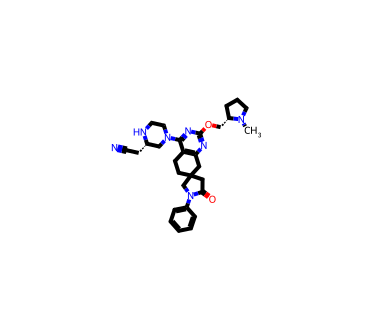 CN1CCC[C@H]1COc1nc2c(c(N3CCN[C@@H](CC#N)C3)n1)CCC1(CC(=O)N(c3ccccc3)C1)C2